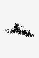 CC(C)N1CCN(C(=O)NS(=O)(=O)NC(=O)N2C[C@H](NC(=O)C(=NOC(C)(C)C(=O)O)c3csc(N)n3)C2=O)C1=O